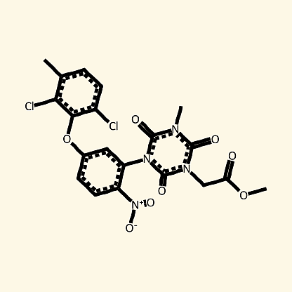 COC(=O)Cn1c(=O)n(C)c(=O)n(-c2cc(Oc3c(Cl)ccc(C)c3Cl)ccc2[N+](=O)[O-])c1=O